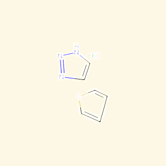 Cl.c1c[nH]nn1.c1ccsc1